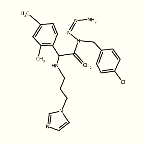 C=C(C(NCCCn1ccnc1)c1ccc(C)cc1C)N(Cc1ccc(Cl)cc1)/N=N\N